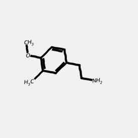 COc1ccc(CCN)cc1C